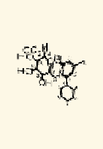 Cc1cc(C2CCCCC2)n(CC2OC(C(=O)O)C(O)C(O)C2O)c(=O)c1